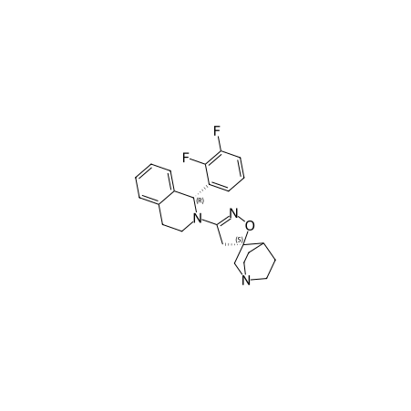 Fc1cccc([C@H]2c3ccccc3CCN2C2=NO[C@]3(C2)CN2CCC3CC2)c1F